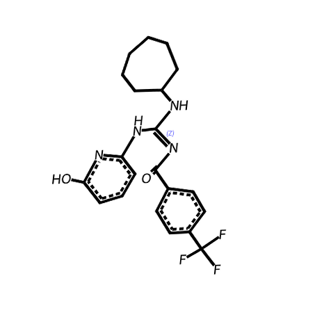 O=C(/N=C(\Nc1cccc(O)n1)NC1CCCCCC1)c1ccc(C(F)(F)F)cc1